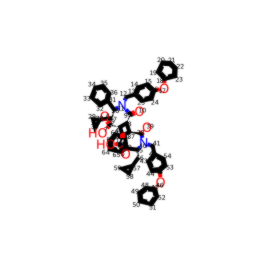 O=C(O)[C@H]1[C@H](C(=O)O)[C@H](C(=O)N(Cc2ccc(Oc3ccccc3)cc2)[C@H](CC2CC2)c2ccccc2)[C@H]1C(=O)N(Cc1ccc(Oc2ccccc2)cc1)[C@H](CC1CC1)c1ccccc1